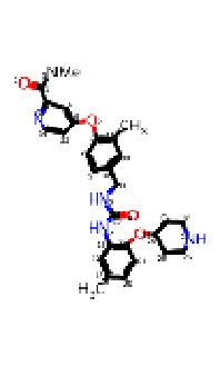 CNC(=O)c1cc(Oc2ccc(CNC(=O)Nc3cc(C)ccc3OC3CCNCC3)cc2C)ccn1